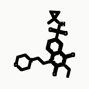 CCn1c(=O)c2cc(S(=O)(=O)NC3(C)CC3)ccc2n(CCN2CCOCC2)c1=O